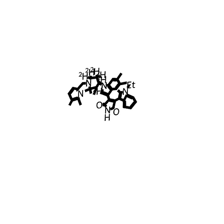 [2H]C1([2H])N(Cc2ccc(C)c(C)n2)C(C)(C)C([2H])(C)C([2H])(n2cc(C3=C(c4c(C)n(CC)c5ccccc45)C(=O)NC3=O)c3cc(C)c(C)cc32)C1([2H])[2H]